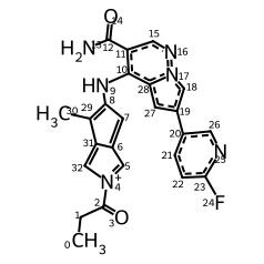 CCC(=O)[N+]1=CC2=CC(Nc3c(C(N)=O)cnn4cc(-c5ccc(F)nc5)cc34)=C(C)C2=C1